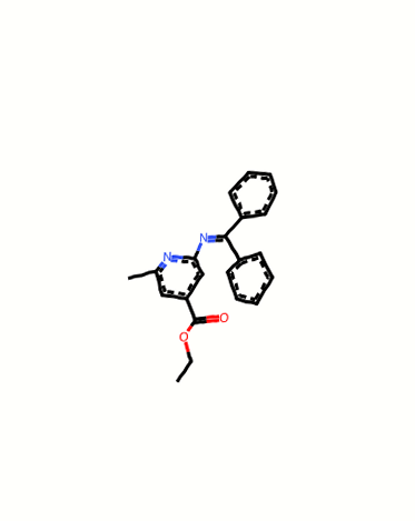 CCOC(=O)c1cc(C)nc(N=C(c2ccccc2)c2ccccc2)c1